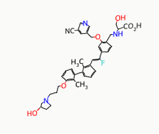 Cc1c(/C=C(\F)c2ccc(CNC(CO)C(=O)O)c(OCc3cncc(C#N)c3)c2)cccc1-c1cccc(OCCCN2CC[C@@H](O)C2)c1C